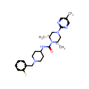 C[C@@H]1CN(c2ncc(C(F)(F)F)cn2)C[C@H](C)N1C(=O)NC1CCN(Cc2ccccc2F)CC1